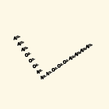 [Al+3].[Al+3].[Al+3].[Al+3].[Al+3].[Al+3].[Al+3].[N-3].[N-3].[N-3].[O-2].[O-2].[O-2].[O-2].[O-2].[O-2]